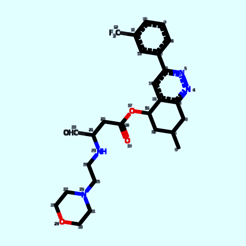 CC1Cc2nnc(-c3cccc(C(F)(F)F)c3)cc2C(OC(=O)CC(C=O)NCCN2CCOCC2)C1